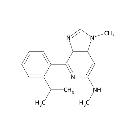 CNc1cc2c(ncn2C)c(-c2ccccc2C(C)C)n1